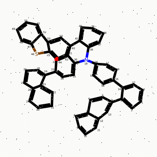 c1ccc(-c2ccc3ccccc3c2)c(-c2ccc(N(c3ccc(-c4cccc5ccccc45)cc3)c3ccccc3-c3ccc4sc5ccccc5c4c3)cc2)c1